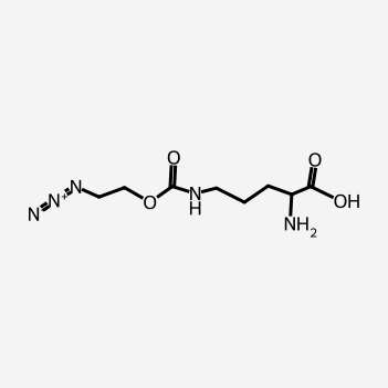 [N-]=[N+]=NCCOC(=O)NCCCC(N)C(=O)O